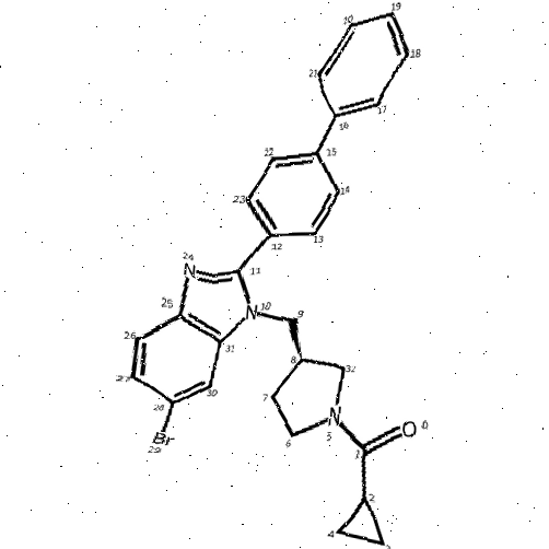 O=C(C1CC1)N1CC[C@@H](Cn2c(-c3ccc(-c4ccccc4)cc3)nc3ccc(Br)cc32)C1